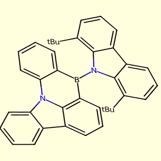 CC(C)(C)c1cccc2c3cccc(C(C)(C)C)c3n(B3c4ccccc4-n4c5ccccc5c5cccc3c54)c12